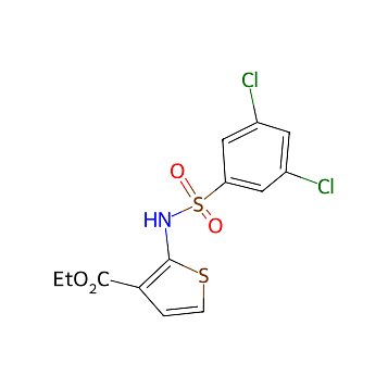 CCOC(=O)c1ccsc1NS(=O)(=O)c1cc(Cl)cc(Cl)c1